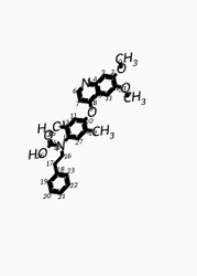 COc1cc2nccc(Oc3cc(C)c(N(CCc4ccccc4)C(=O)O)cc3C)c2cc1OC